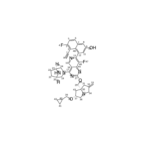 C#Cc1c(F)ccc2cc(O)cc(-c3ncc4c(N5C[C@H]6CC[C@@H](C5)N6)nc(OC[C@]56CC(=C)CN5C[C@H](OCC5CC5)C6)nc4c3F)c12